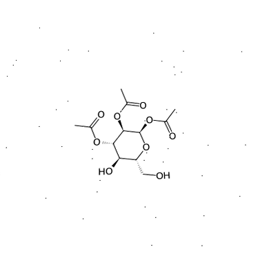 CC(=O)O[C@H]1O[C@H](CO)[C@@H](O)[C@H](OC(C)=O)[C@H]1OC(C)=O